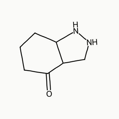 O=C1CCCC2NNCC12